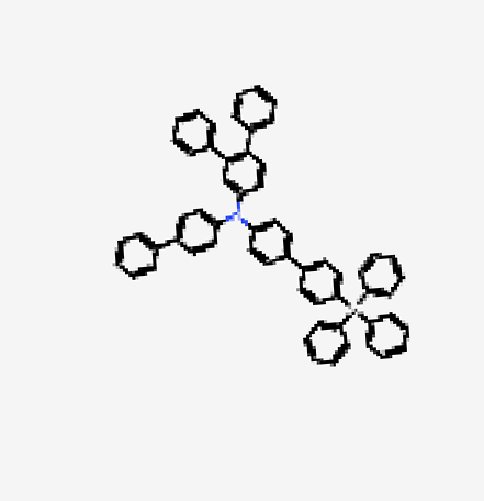 c1ccc(-c2ccc(N(c3ccc(-c4ccc([Si](c5ccccc5)(c5ccccc5)c5ccccc5)cc4)cc3)c3ccc(-c4ccccc4)c(-c4ccccc4)c3)cc2)cc1